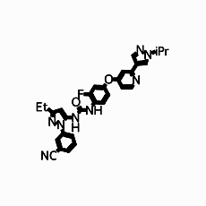 CCc1cc(NC(=O)Nc2ccc(Oc3ccnc(-c4cnn(C(C)C)c4)c3)cc2F)n(-c2cccc(C#N)c2)n1